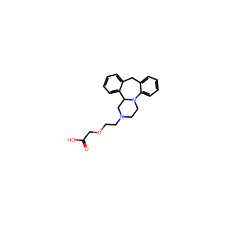 O=C(O)COCCN1CCN2c3ccccc3Cc3ccccc3C2C1